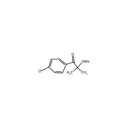 COC(C)(C)C(=O)c1ccc(Cl)cc1